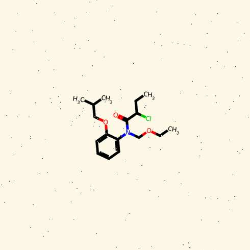 CCOCN(C(=O)C(Cl)CC)c1ccccc1OCC(C)C